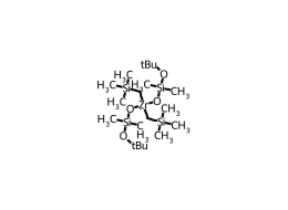 CC(C)(C)O[Si](C)(C)[O][Zr]([CH2][Si](C)(C)C)([CH2][Si](C)(C)C)[O][Si](C)(C)OC(C)(C)C